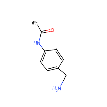 CC(C)C(=O)Nc1[c]cc(CN)cc1